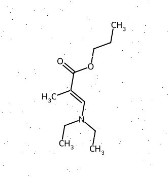 CCCOC(=O)C(C)=CN(CC)CC